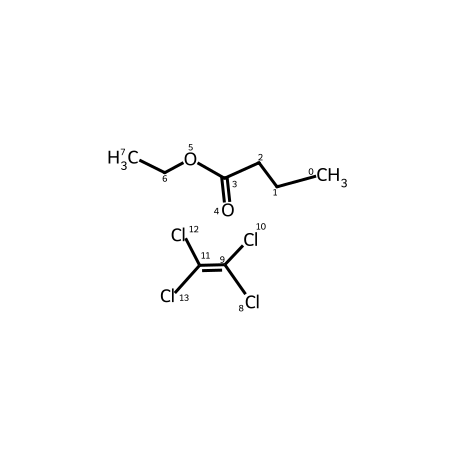 CCCC(=O)OCC.ClC(Cl)=C(Cl)Cl